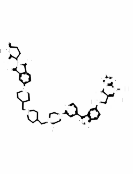 CC1=C(C(=O)Nc2ccc3[nH]nc(-c4ccnc(N5CCN(CC6CCN(CC7CCN(c8ccc9c(c8)C(=O)N(C8CCC(=O)NC8=O)C9=O)CC7)CC6)[C@@H](C)C5)c4)c3c2)[C@@H](C)n2nnnc2N1C